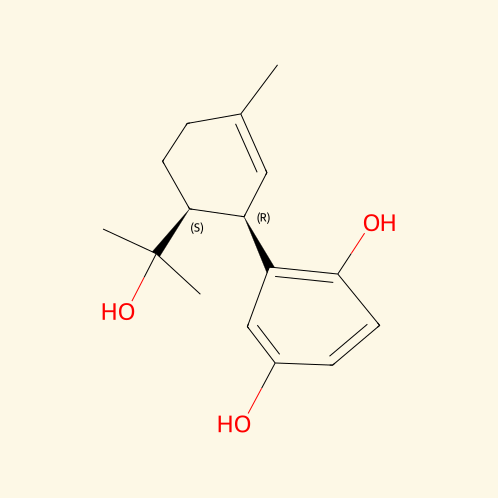 CC1=C[C@@H](c2cc(O)ccc2O)[C@@H](C(C)(C)O)CC1